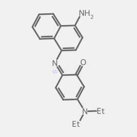 CCN(CC)C1=CC(=O)/C(=N\c2ccc(N)c3ccccc23)C=C1